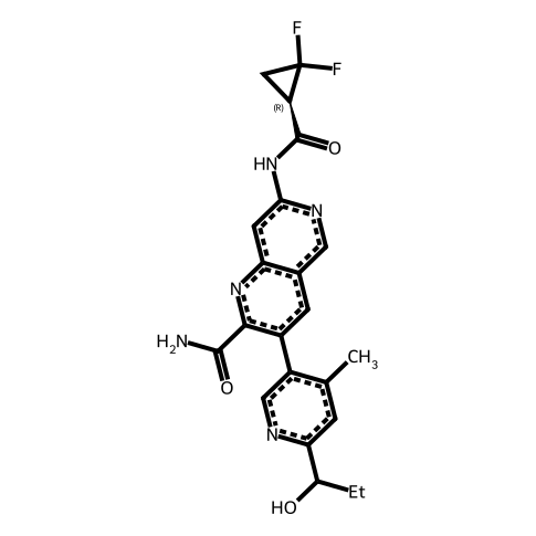 CCC(O)c1cc(C)c(-c2cc3cnc(NC(=O)[C@H]4CC4(F)F)cc3nc2C(N)=O)cn1